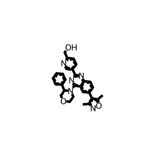 Cc1noc(C)c1-c1ccc2nc(-c3ccc(CO)nc3)nc(N3CCOCC3c3ccccc3)c2c1